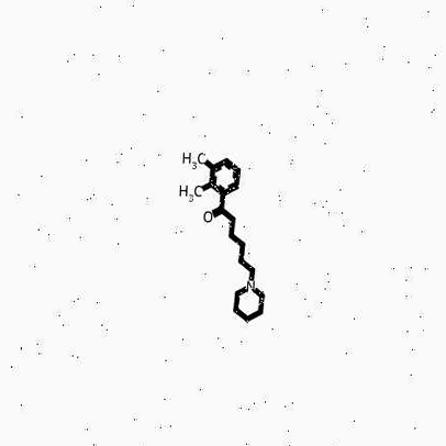 Cc1cccc(C(=O)CCCCCN2CC[CH]CC2)c1C